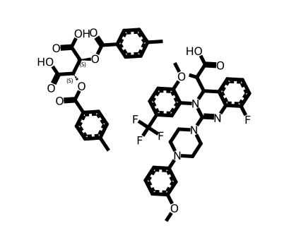 COc1cccc(N2CCN(C3=Nc4c(F)cccc4C(C(C)C(=O)O)N3c3cc(C(F)(F)F)ccc3OC)CC2)c1.Cc1ccc(C(=O)O[C@H](C(=O)O)[C@H](OC(=O)c2ccc(C)cc2)C(=O)O)cc1